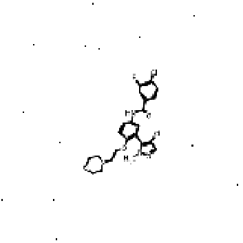 Cn1ncc(Cl)c1-c1cc(NC(=O)c2ccc(Cl)c(F)c2)ccc1OCCN1CCOCC1